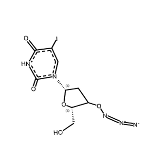 [N-]=[N+]=NOC1C[C@@H](n2cc(I)c(=O)[nH]c2=O)O[C@H]1CO